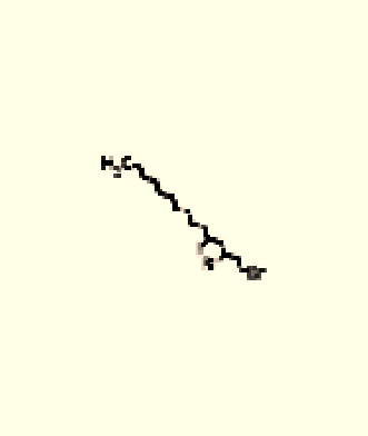 CCCCCCCCCCC(I)CC(Br)CCBr